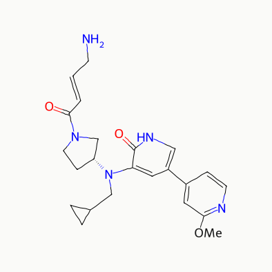 COc1cc(-c2c[nH]c(=O)c(N(CC3CC3)[C@@H]3CCN(C(=O)/C=C/CN)C3)c2)ccn1